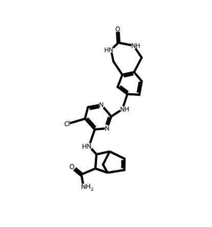 NC(=O)C1C2C=CC(C2)C1Nc1nc(Nc2ccc3c(c2)CNC(=O)NC3)ncc1Cl